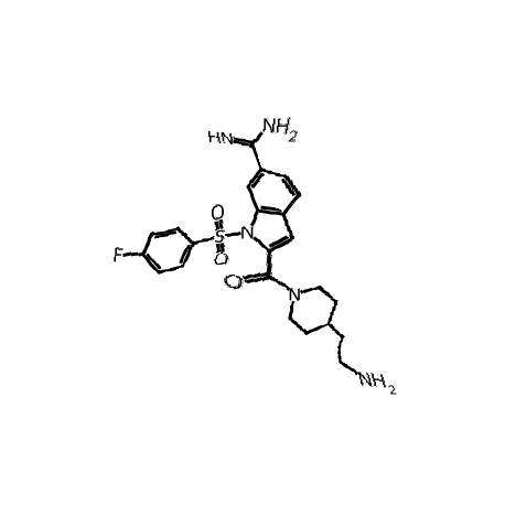 N=C(N)c1ccc2cc(C(=O)N3CCC(CCN)CC3)n(S(=O)(=O)c3ccc(F)cc3)c2c1